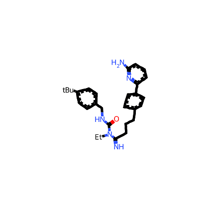 CCN(C(=N)CCCc1ccc(-c2cccc(N)n2)cc1)C(=O)NCc1ccc(C(C)(C)C)cc1